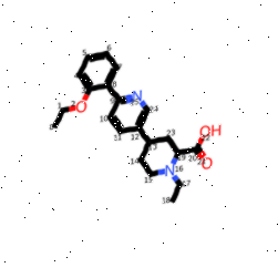 CCOc1ccccc1-c1ccc(C2CCN(CC)C(C(=O)O)C2)cn1